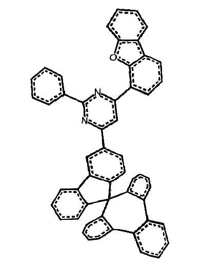 c1ccc(-c2nc(-c3ccc4c(c3)-c3ccccc3C43c4ccccc4-c4ccccc4-c4ccccc43)cc(-c3cccc4c3oc3ccccc34)n2)cc1